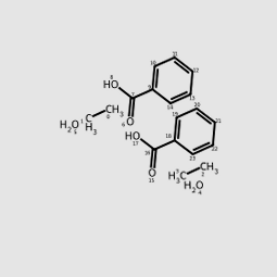 CC.CC.O.O.O=C(O)c1ccccc1.O=C(O)c1ccccc1